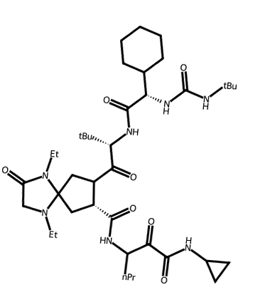 CCCC(NC(=O)[C@@H]1CC2(CC1C(=O)[C@@H](NC(=O)[C@@H](NC(=O)NC(C)(C)C)C1CCCCC1)C(C)(C)C)N(CC)CC(=O)N2CC)C(=O)C(=O)NC1CC1